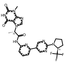 C[C@@H](C(=O)Nc1cccc(-c2cnc(N3CCC[C@H]3C(F)(F)F)nc2)n1)n1cnc2c1c(=O)[nH]c(=O)n2C